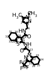 Cc1cc(CNC(=O)c2c(NC(=O)Cn3nc(C(F)(F)F)c4c3CCCC4)sc3c2CCCC3)nn1C